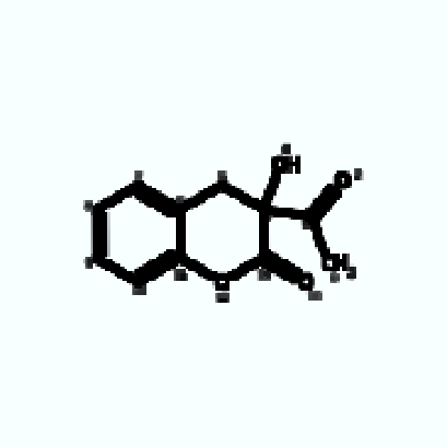 CC(=O)C1(O)Cc2ccccc2OC1=O